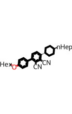 CCCCCCC[C@H]1CC[C@H](c2ccc(-c3ccc(OCCCCCC)cc3)c(C#N)c2C#N)CC1